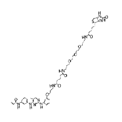 C=CC(=O)Nc1cccc(Nc2nc(Nc3cccc(OCCCNC(=O)CCCC(=O)NCCCOCCOCCOCCCNC(=O)CCCC[C@@H]4SCC5NC(=O)NC54)c3)ncc2C)c1